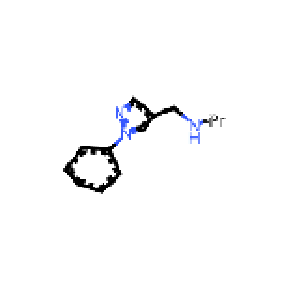 CC(C)NCc1cnn(-c2ccccc2)c1